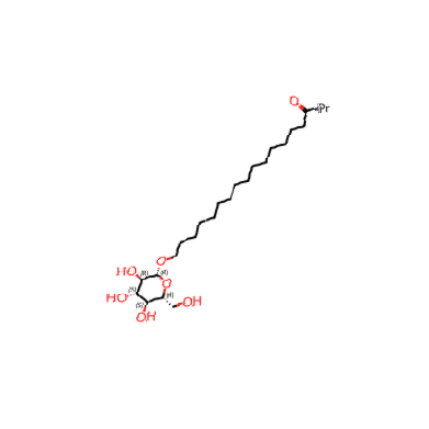 CC(C)C(=O)CCCCCCCCCCCCCCCO[C@@H]1O[C@H](CO)[C@@H](O)[C@H](O)[C@H]1O